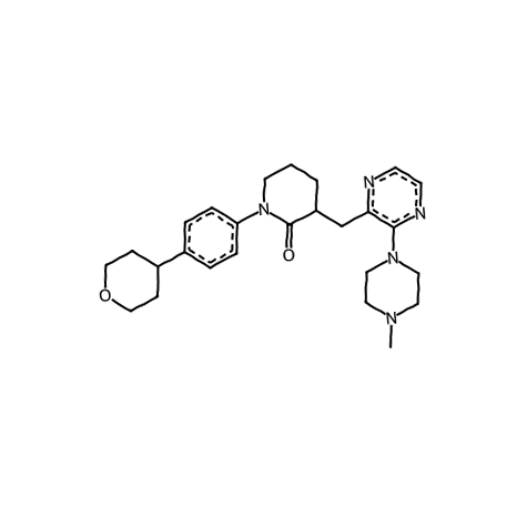 CN1CCN(c2nccnc2CC2CCCN(c3ccc(C4CCOCC4)cc3)C2=O)CC1